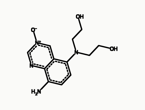 Nc1ccc(N(CCO)CCO)c2c[n+]([O-])cnc12